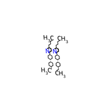 CCCCCc1ccc(C2CCC([C@H]3CC[C@H](CC)CC3)CC2)nc1.CCCCCc1ccc(C2CCC([C@H]3CC[C@H](CCC)CC3)CC2)nc1